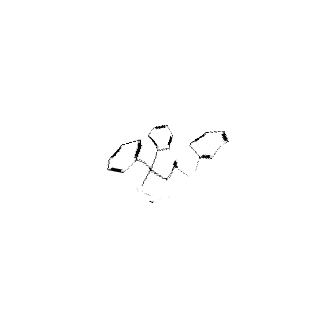 O=C(CC(N[SH](=O)=O)(c1ccccc1)c1ccccc1)Oc1ccccc1